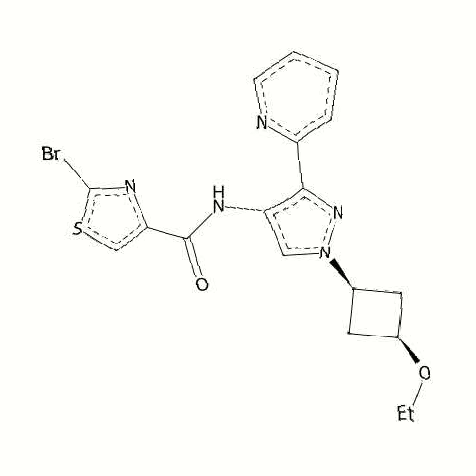 CCO[C@H]1C[C@@H](n2cc(NC(=O)c3csc(Br)n3)c(-c3ccccn3)n2)C1